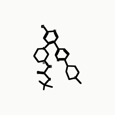 CN1CCC(c2ccc(-c3cnc(Cl)cc3N3CCC[C@H](NC(=O)OC(C)(C)C)C3)cn2)CC1